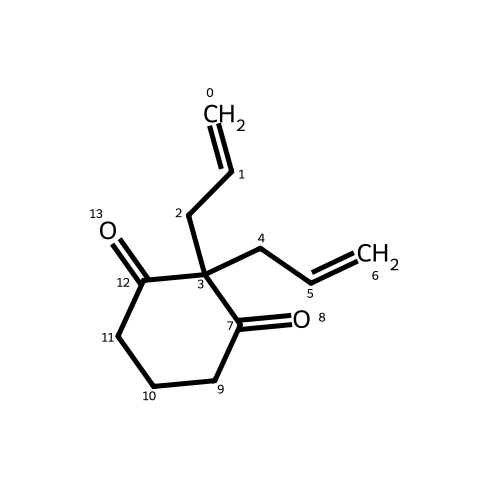 C=CCC1(CC=C)C(=O)CCCC1=O